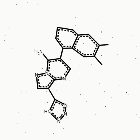 Cc1cc2cccc(-c3cnc4c(-c5nnn[nH]5)cnn4c3N)c2cc1C